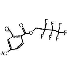 O=C(OCC(F)(F)C(F)(F)C(F)(F)F)c1ccc(O)cc1Cl